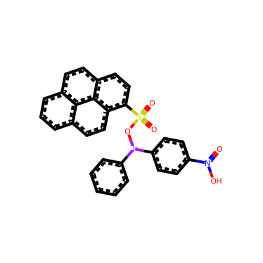 O=[N+](O)c1ccc([I+](OS(=O)(=O)c2ccc3ccc4cccc5ccc2c3c45)c2ccccc2)cc1